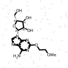 COCCOc1nc(N)c2ncn([C@@H]3O[C@H](CO)[C@@H](O)[C@H]3O)c2n1